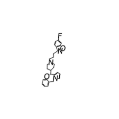 Fc1ccc2c(CCCN3CCC(C4Oc5ccccc5Cn5cccc54)CC3)noc2c1